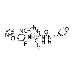 Cc1c(NC(=O)NCCN2CCOCC2)cn2ncc(C#N)c(Nc3ccc(Oc4nccs4)cc3F)c12